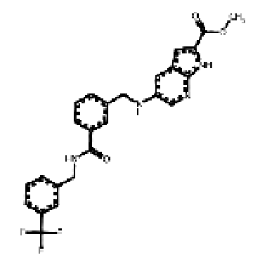 COC(=O)c1cc2cc(NCc3cccc(C(=O)NCc4cccc(C(F)(F)F)c4)c3)cnc2[nH]1